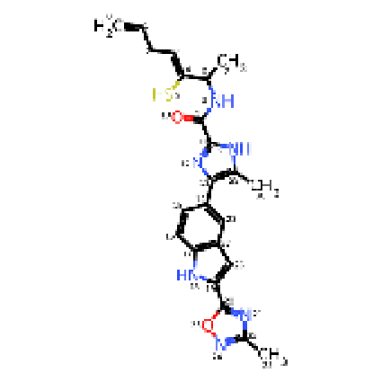 C=CC/C=C(\S)C(C)NC(=O)c1nc(-c2ccc3[nH]c(-c4nc(C)no4)cc3c2)c(C)[nH]1